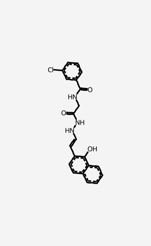 O=C(CNC(=O)c1cccc(Cl)c1)NNC=Cc1ccc2ccccc2c1O